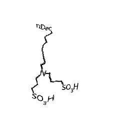 CCCCCCCCCCCCCCCCN(CCCS(=O)(=O)O)CCCS(=O)(=O)O